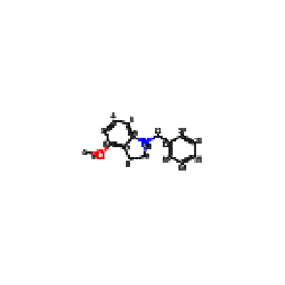 COc1cccc2c1CCN2Cc1ccccc1